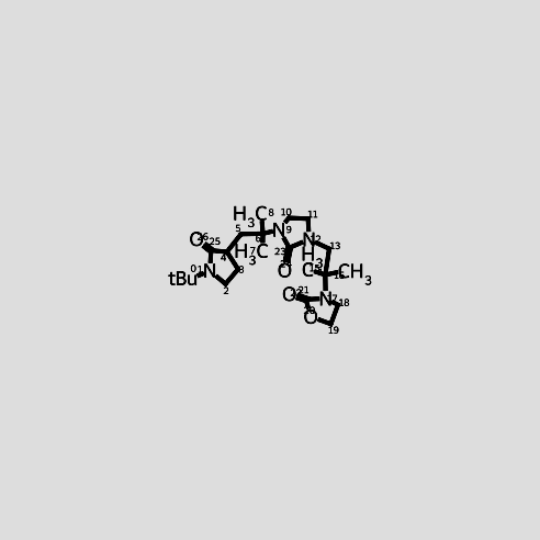 CC(C)(C)N1CCC(CC(C)(C)N2CCN(CC(C)(C)N3CCOC3=O)C2=O)C1=O